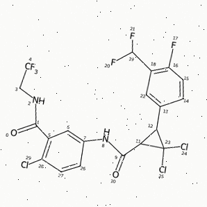 O=C(NCC(F)(F)F)c1cc(NC(=O)C2C(c3ccc(F)c(C(F)F)c3)C2(Cl)Cl)ccc1Cl